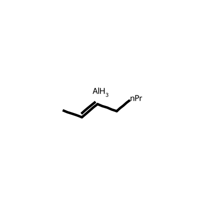 CC=CCCCC.[AlH3]